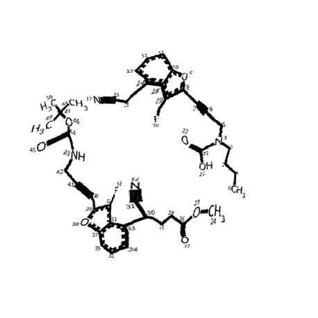 CCCCN(CC#Cc1oc2cccc(CC#N)c2c1F)C(=O)O.COC(=O)CCC(C#N)c1cccc2oc(C#CCNC(=O)OC(C)(C)C)c(F)c12